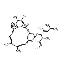 CC1=C[C@H]2C(=O)O[C@H]3C[C@@H](C/C=C(\C)C[C@@H](C)/C=C/C=C4\CO[C@H]([C@@H]1O)[C@@]42O)O[C@@]1(C/C(=N\O)[C@H](C)[C@@H](/C(C)=C/C(C)C)O1)C3